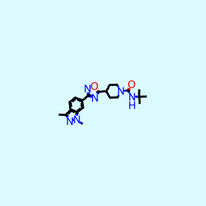 Cc1nn(C)c2cc(-c3noc(C4CCN(C(=O)NC(C)(C)C)CC4)n3)ccc12